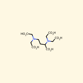 O=C(O)CN(CCC(C(=O)O)N(CC(=O)O)CC(=O)O)CC(=O)O